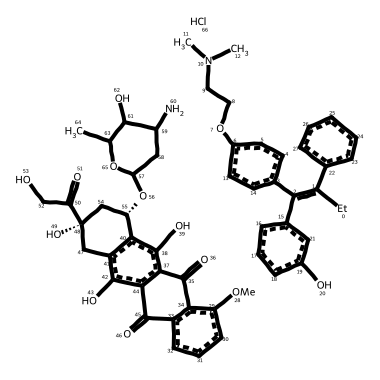 CC/C(=C(/c1ccc(OCCN(C)C)cc1)c1cccc(O)c1)c1ccccc1.COc1cccc2c1C(=O)c1c(O)c3c(c(O)c1C2=O)C[C@@](O)(C(=O)CO)C[C@@H]3OC1CC(N)C(O)C(C)O1.Cl